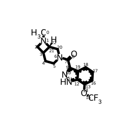 CN1CC2CCN(C(=O)c3n[nH]c4c(OC(F)(F)F)cccc34)C[C@H]21